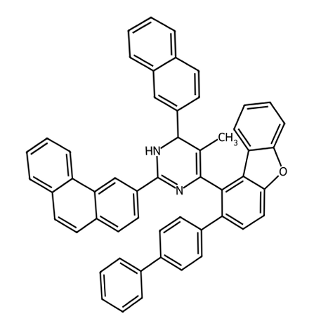 CC1=C(c2c(-c3ccc(-c4ccccc4)cc3)ccc3oc4ccccc4c23)N=C(c2ccc3ccc4ccccc4c3c2)NC1c1ccc2ccccc2c1